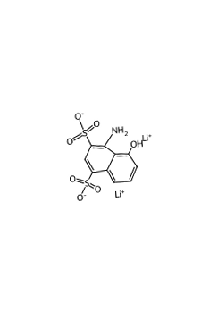 Nc1c(S(=O)(=O)[O-])cc(S(=O)(=O)[O-])c2cccc(O)c12.[Li+].[Li+]